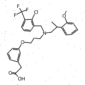 COc1ccccc1C(C)CN(CCCOc1cccc(CC(=O)O)c1)Cc1cccc(C(F)(F)F)c1Cl